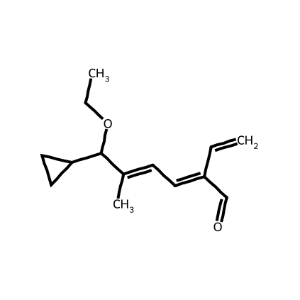 C=C/C(C=O)=C\C=C(/C)C(OCC)C1CC1